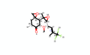 CO[C@@H]1C(=O)[C@H](C)C[C@]2(CO2)[C@H]1C1(C)O[C@@H]1C/C=C(\C)C(F)(F)F